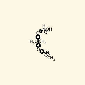 Cc1nnc(-c2ccc(Oc3ccc(C(C)(C)c4ccc(OC5CC(NC(=O)O)C5)cc4)cc3)cc2)o1